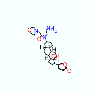 C[C@]12CC[C@H](N(CCN)C(=O)CN3CCOCC3)C[C@H]1CC[C@@H]1[C@@H]2CC[C@]2(C)[C@@H](c3ccc(=O)oc3)CC[C@]12O